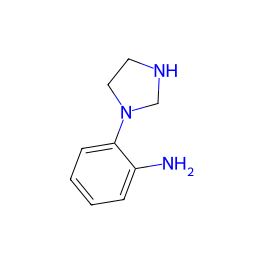 Nc1ccccc1N1CCNC1